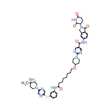 CC1(N)CCN(c2cnc(Sc3cccc(NC(=O)CCCCCCCOC4CCN(c5ncc(C(=O)Nc6ccc7c(c6)CN(C6CCC(=O)NC6=O)C7=O)cn5)CC4)c3)cn2)CC1